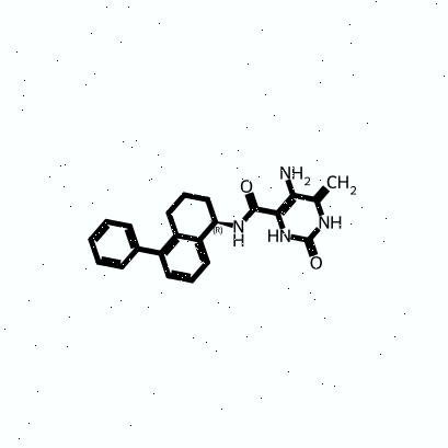 C=C1NC(=O)NC(C(=O)N[C@@H]2CCCc3c(-c4ccccc4)cccc32)=C1N